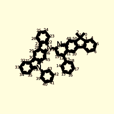 CC1(C)c2ccccc2-c2cc3c(-c4ccccc4)cc(-n4c5ccccc5c5cc6c7ccccc7n(-c7ccccc7)c6cc54)nc3cc21